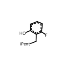 CCCC(C)Cc1c(O)cccc1F